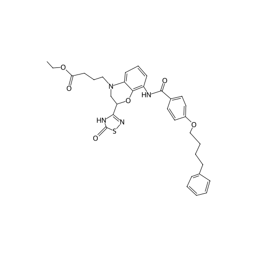 CCOC(=O)CCCN1CC(c2nsc(=O)[nH]2)Oc2c(NC(=O)c3ccc(OCCCCc4ccccc4)cc3)cccc21